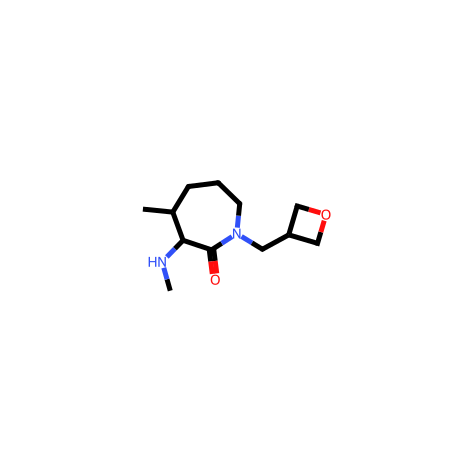 CNC1C(=O)N(CC2COC2)CCCC1C